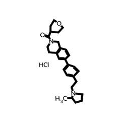 CC1CCCN1CCc1ccc(-c2ccc3c(c2)CCN(C(=O)C2CCOCC2)C3)cc1.Cl